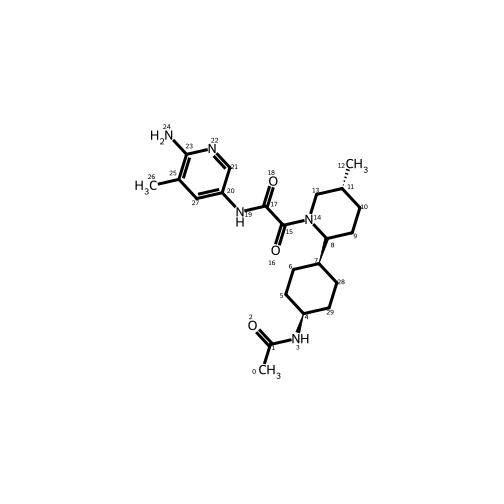 CC(=O)N[C@H]1CC[C@@H](C2CC[C@@H](C)CN2C(=O)C(=O)Nc2cnc(N)c(C)c2)CC1